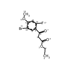 CCOC(=O)CC(=O)c1cc(Br)c(OC)cc1F